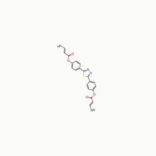 CCCC=CC(=O)Oc1ccc(-c2nnc(-c3ccc(OC(=O)C=CCCC)cc3)s2)cc1